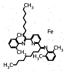 CCCCCCCCC(=Nc1c(C)cccc1C)c1cccc(C(CCCCCCCC)=Nc2c(C)cccc2C)n1.[Fe]